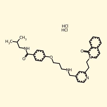 CC(C)CNC(=O)c1ccc(OCCCNCc2ccnc(CCn3ccc4ccccc4c3=O)c2)cc1.Cl.Cl